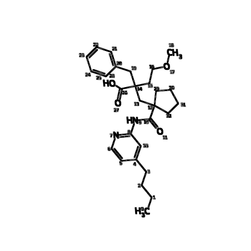 CCCCc1ccnc(NC(=O)C2(CC(CCOC)(Cc3ccccc3)C(=O)O)CCCC2)c1